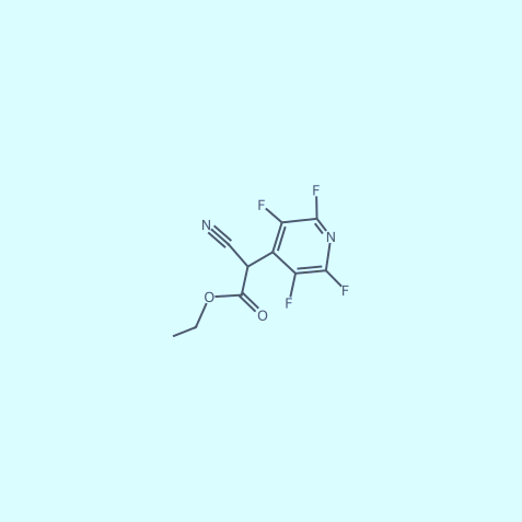 CCOC(=O)C(C#N)c1c(F)c(F)nc(F)c1F